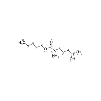 C=C(O)CSC[C@H](N)C(=O)OCCCCC